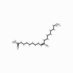 [2H]/C(=C/CCCCCCCC(=O)O)CCCCCCCC